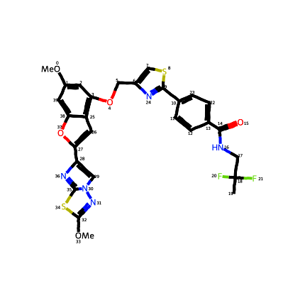 COc1cc(OCc2csc(-c3ccc(C(=O)NCC(C)(F)F)cc3)n2)c2cc(-c3cn4nc(OC)sc4n3)oc2c1